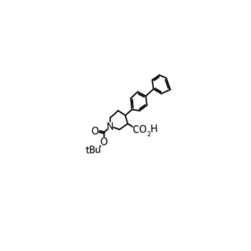 CC(C)(C)OC(=O)N1CCC(c2ccc(-c3ccccc3)cc2)C(C(=O)O)C1